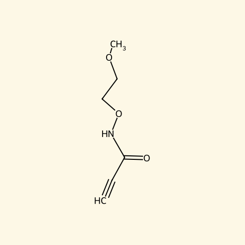 C#CC(=O)NOCCOC